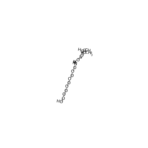 CC(C)(C)OC(=O)N1CCN(CCOCc2cn(CCOCCOCCOCCOCCOCCOCCOCCOCCOCCO)nn2)CC1